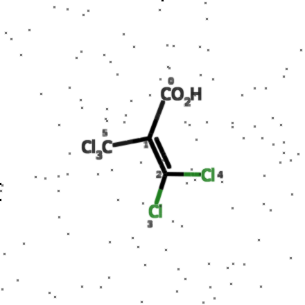 O=C(O)C(=C(Cl)Cl)C(Cl)(Cl)Cl